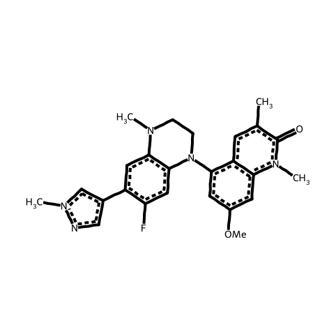 COc1cc(N2CCN(C)c3cc(-c4cnn(C)c4)c(F)cc32)c2cc(C)c(=O)n(C)c2c1